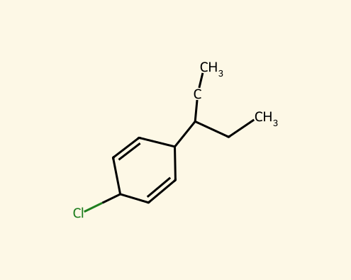 CCC(CC)C1C=CC(Cl)C=C1